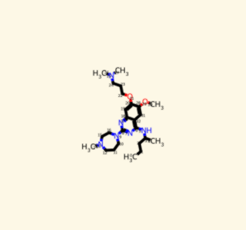 CCCC(C)Nc1nc(N2CCCN(C)CC2)nc2cc(OCCCN(C)C)c(OC)cc12